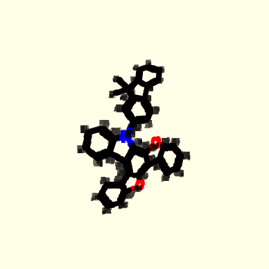 CC1(C)c2ccccc2-c2ccc(-n3c4ccccc4c4c5c6ccccc6oc5c5c6ccccc6oc5c43)cc21